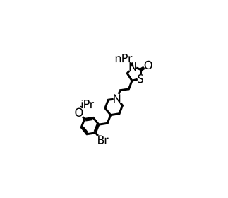 CCCN1CC(CCN2CCC(Cc3cc(OC(C)C)ccc3Br)CC2)SC1=O